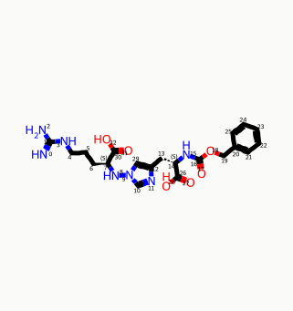 N=C(N)NCCC[C@H](Nn1cnc(C[C@H](NC(=O)OCc2ccccc2)C(=O)O)c1)C(=O)O